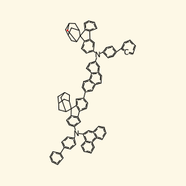 c1ccc(-c2ccc(N(c3ccc4c(c3)-c3ccccc3C43C4CC5CC(C4)CC3C5)c3ccc4c(ccc5cc(-c6ccc7c(c6)C6(c8ccc(N(c9ccc(-c%10ccccc%10)cc9)c9cc%10ccccc%10c%10ccccc9%10)cc8-7)C7CC8CC(C7)CC6C8)ccc54)c3)cc2)cc1